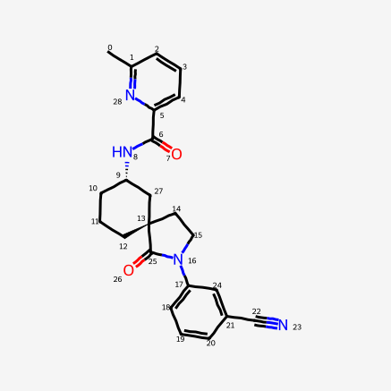 Cc1cccc(C(=O)N[C@H]2CCC[C@]3(CCN(c4cccc(C#N)c4)C3=O)C2)n1